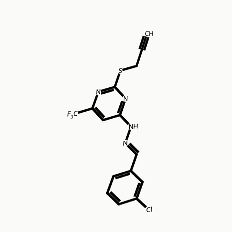 C#CCSc1nc(NN=Cc2cccc(Cl)c2)cc(C(F)(F)F)n1